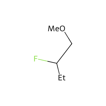 [CH2]CC(F)COC